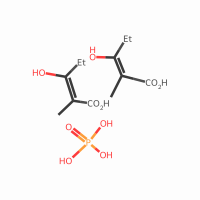 CC/C(O)=C(/C)C(=O)O.CC/C(O)=C(/C)C(=O)O.O=P(O)(O)O